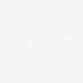 CN1C(=NNC(=O)C(=O)C(NC(=O)C2CCCCCC2)C2CCCCC2)SCC1(C)C.Cl